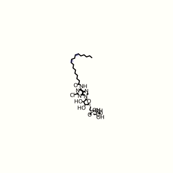 CCCCC/C=C\C/C=C\CCCCCCCC(=O)Nc1nc(Cl)nc2c1ncn2[C@@H]1O[C@H](CCP(=O)(O)CP(=O)(O)O)C(O)C1O